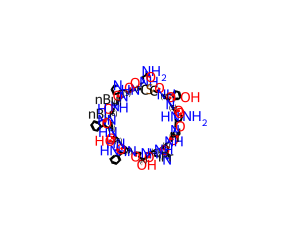 CCCC[C@H]1C(=O)N(C)[C@@H](CCCC)C(=O)N[C@@H](Cc2ccccn2)C(=O)N[C@H](C(=O)NCC(N)=O)CSCC(=O)N[C@@H](Cc2ccc(O)cc2)C(=O)N(C)[C@@H](C)C(=O)NC(CC(N)=O)C(=O)N2CCC[C@H]2C(=O)N[C@@H](Cc2cnc[nH]2)C(=O)N[C@@H](CC(C)C)C(=O)N2C[C@H](O)CC2C(=O)N[C@@H](Cc2c[nH]c3ccccc23)C(=O)N[C@@H](CO)C(=O)N[C@@H](Cc2c[nH]c3ccccc23)C(=O)N1C